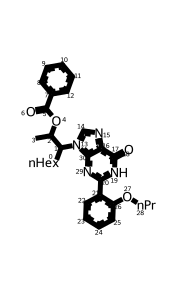 CCCCCCC(C(C)OC(=O)c1ccccc1)n1cnc2c(=O)[nH]c(-c3ccccc3OCCC)nc21